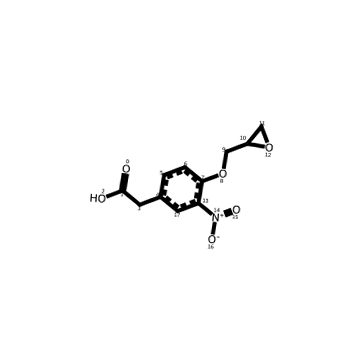 O=C(O)Cc1ccc(OCC2CO2)c([N+](=O)[O-])c1